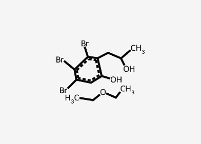 CC(O)Cc1c(O)cc(Br)c(Br)c1Br.CCOCC